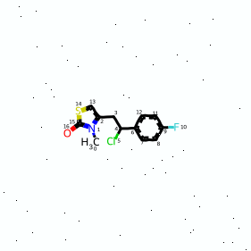 Cn1c(CC(Cl)c2ccc(F)cc2)csc1=O